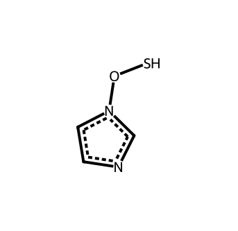 SOn1ccnc1